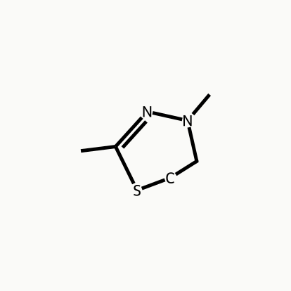 CC1=NN(C)CCS1